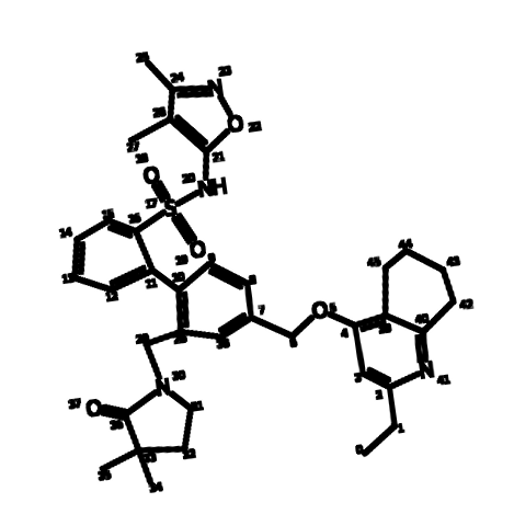 CCc1cc(OCc2ccc(-c3ccccc3S(=O)(=O)Nc3onc(C)c3C)c(CN3CCC(C)(C)C3=O)c2)c2c(n1)CCCC2